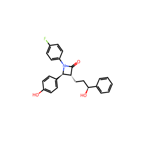 O=C1[C@H](CC[C@H](O)c2ccccc2)[C@@H](c2ccc(O)cc2)N1c1ccc(F)cc1